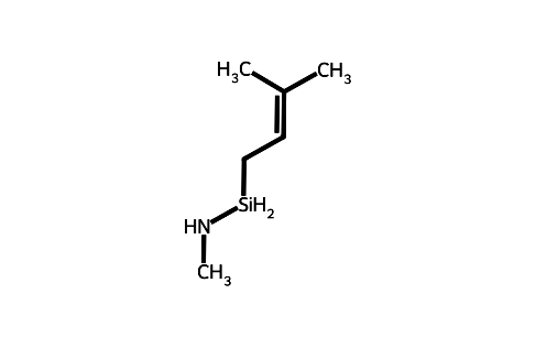 CN[SiH2]CC=C(C)C